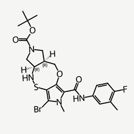 Cc1cc(NC(=O)c2c3c(c(Br)n2C)SN[C@H]2CN(C(=O)OC(C)(C)C)C[C@H]2CO3)ccc1F